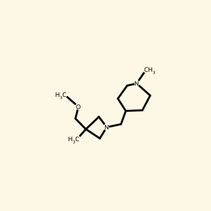 COCC1(C)CN(CC2CCN(C)CC2)C1